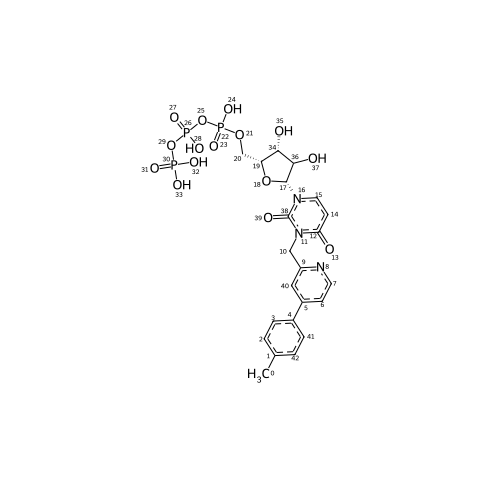 Cc1ccc(-c2ccnc(Cn3c(=O)ccn([C@@H]4O[C@H](COP(=O)(O)OP(=O)(O)OP(=O)(O)O)[C@H](O)C4O)c3=O)c2)cc1